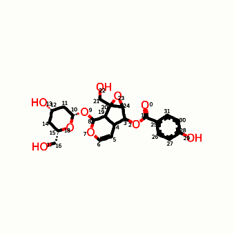 O=C(OC1C2C=COC(O[C@H]3C[C@@H](O)C[C@@H](CO)O3)C2C2(CO)OC12)c1ccc(O)cc1